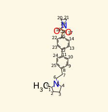 C[C@@H]1CCCN1CCc1ccc(-c2ccc(S(=O)(=O)N3CC3)cc2)cc1